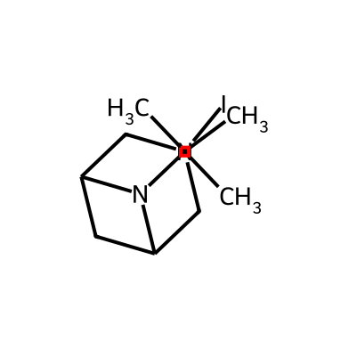 CC(C)(C)N1C2CC1CN(I)C2